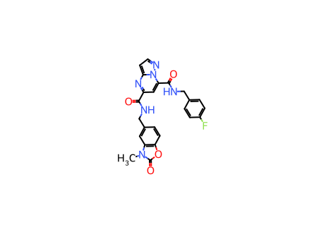 Cn1c(=O)oc2ccc(CNC(=O)c3cc(C(=O)NCc4ccc(F)cc4)n4nccc4n3)cc21